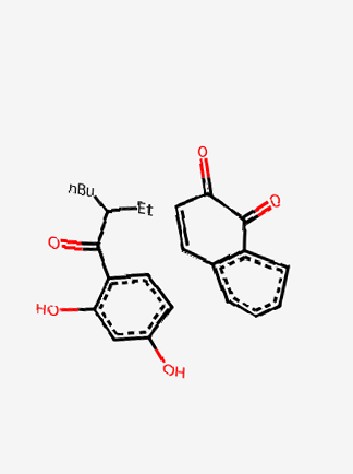 CCCCC(CC)C(=O)c1ccc(O)cc1O.O=C1C=Cc2ccccc2C1=O